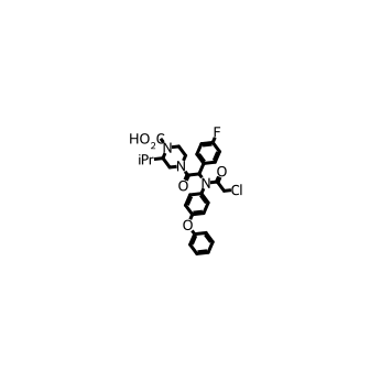 CC(C)C1CN(C(=O)C(c2ccc(F)cc2)N(C(=O)CCl)c2ccc(Oc3ccccc3)cc2)CCN1C(=O)O